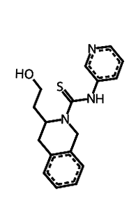 OCCC1Cc2ccccc2CN1C(=S)Nc1cccnc1